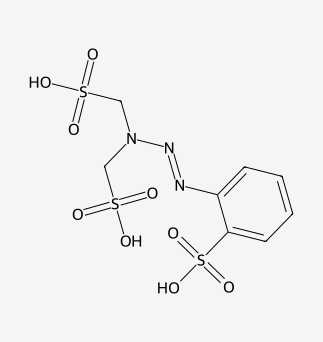 O=S(=O)(O)CN(CS(=O)(=O)O)N=Nc1ccccc1S(=O)(=O)O